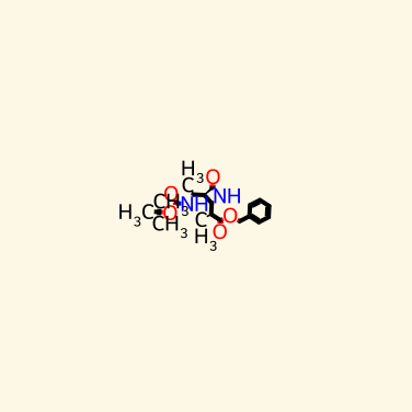 C[C@@H](NC(=O)OC(C)(C)C)[C@H]1C(=O)N[C@@H]1[C@@H](C)C(=O)OCc1ccccc1